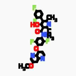 COc1cnc2c(Oc3cc(F)c(NC(=O)c4c(C)nc(C)c(-c5ccc(F)cc5F)c4O)cc3F)ccnc2c1